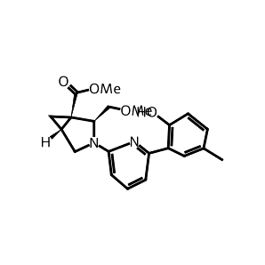 COC[C@H]1N(c2cccc(-c3cc(C)ccc3O)n2)C[C@@H]2C[C@@]21C(=O)OC